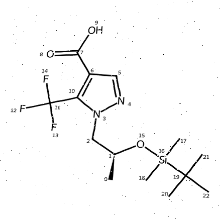 C[C@@H](Cn1ncc(C(=O)O)c1C(F)(F)F)O[Si](C)(C)C(C)(C)C